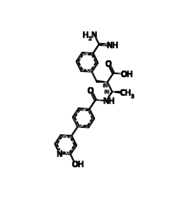 C[C@@H](NC(=O)c1ccc(-c2ccnc(O)c2)cc1)[C@@H](Cc1cccc(C(=N)N)c1)C(=O)O